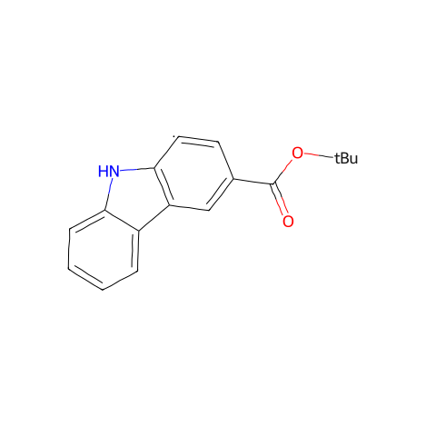 CC(C)(C)OC(=O)c1c[c]c2[nH]c3ccccc3c2c1